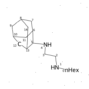 CCCCCCNCCNC1C2CC3CC(C2)CC1C3